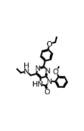 CCNCc1nc(-c2ccc(OCC)cc2)nc2c1[nH]c(=O)n2-c1ccccc1OC